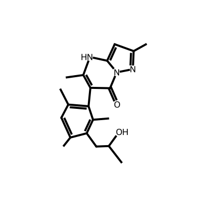 Cc1cc2[nH]c(C)c(-c3c(C)cc(C)c(CC(C)O)c3C)c(=O)n2n1